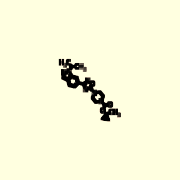 CC(C)n1ncc2ccc(-c3noc(N4CCN(C(=O)OC5(C)CC5)CC4)n3)cc21